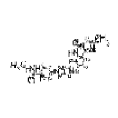 CCNC(=O)c1ccc(-n2cc3c(n2)CN(Cc2ccc4c([nH]c(=O)n5cc(C)nc45)c2F)C3)cn1